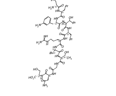 CC[C@H](C)[C@H](NC(=O)[C@@H](CCCNC(=N)N)NC(=O)[C@H](CC(C)C)NC(=O)[C@@H](NC(=O)[C@H](Cc1cccc(N)c1)NC(=O)[C@H](CC(C)C)NC(=O)[C@H](N)CC(C)C)C(O)C(C)C)C(=O)N[C@H](C(=O)NCC(=O)N[C@@H](CC(N)=O)C(=O)N[C@@H](CO)C(=O)O)[C@@H](C)O